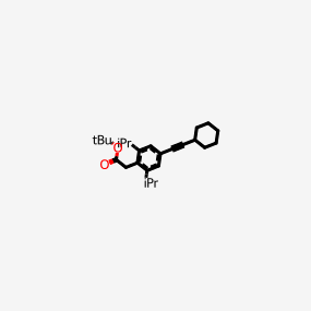 CC(C)c1cc(C#CC2CCCCC2)cc(C(C)C)c1CC(=O)OC(C)(C)C